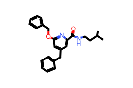 CC(C)CCNC(=O)c1cc(Cc2ccccc2)cc(OCc2ccccc2)n1